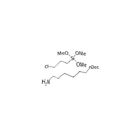 CCCCCCCCCCCCCCCCN.CO[Si](CCCCl)(OC)OC